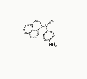 CC(C)N(c1ccc(N)cc1)C1C=Cc2cccc3cccc1c23